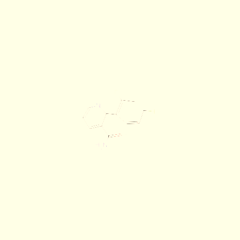 NC(=O)c1cccnc1-c1ccc(F)cc1F